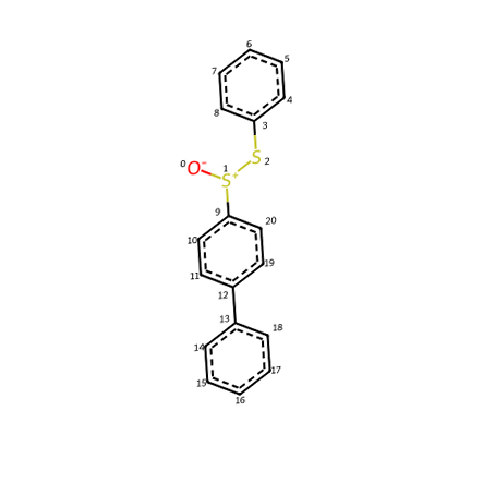 [O-][S+](Sc1ccccc1)c1ccc(-c2ccccc2)cc1